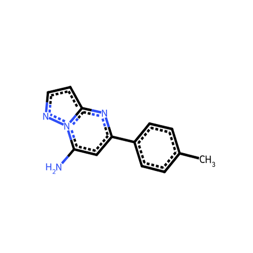 Cc1ccc(-c2cc(N)n3nccc3n2)cc1